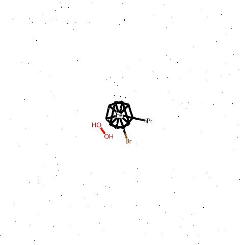 CC(C)[C]12[CH]3[CH]4[CH]5[C]1(Br)[Fe]45321678[CH]2[CH]1[CH]6[CH]7[CH]28.OO